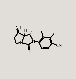 Cc1c(C#N)ccc(N2C(=O)N3CCC(=N)[C@H]3[C@@H]2C)c1C